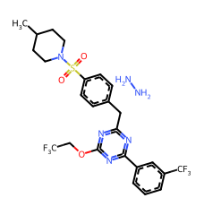 CC1CCN(S(=O)(=O)c2ccc(Cc3nc(OCC(F)(F)F)nc(-c4cccc(C(F)(F)F)c4)n3)cc2)CC1.NN